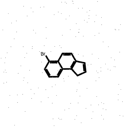 Brc1cccc2c3c(ccc12)C=CC3